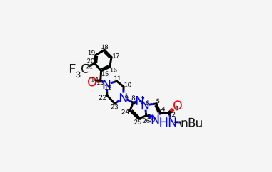 CCCCNC(=O)c1cn2nc(N3CCN(C(=O)c4ccccc4C(F)(F)F)CC3)ccc2n1